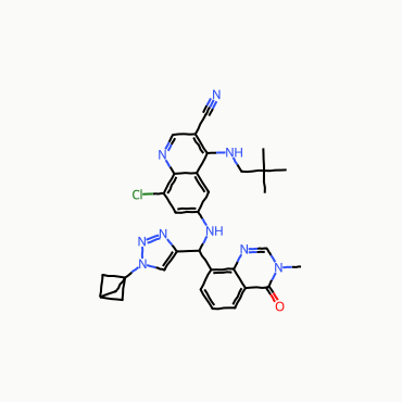 Cn1cnc2c(C(Nc3cc(Cl)c4ncc(C#N)c(NCC(C)(C)C)c4c3)c3cn(C45CC(C4)C5)nn3)cccc2c1=O